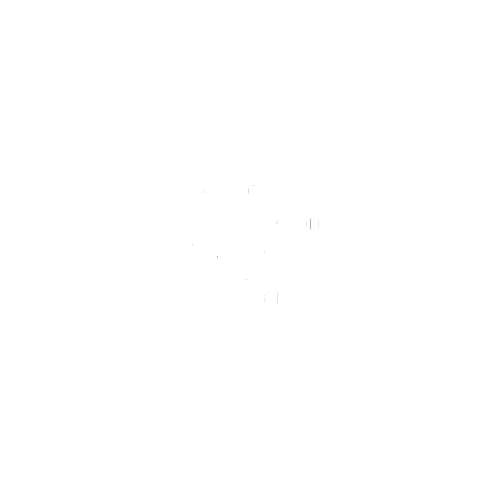 C=COC=C.CCCCC(CC)(CO)CO